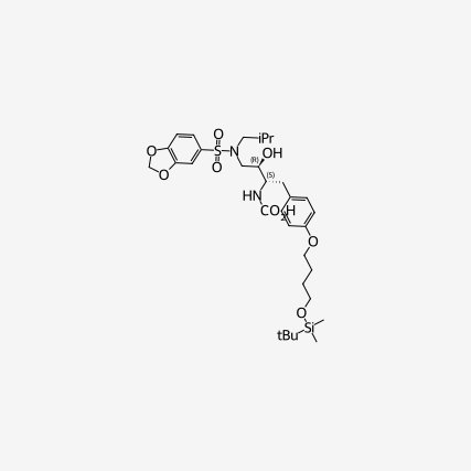 CC(C)CN(C[C@@H](O)[C@H](Cc1ccc(OCCCCO[Si](C)(C)C(C)(C)C)cc1)NC(=O)O)S(=O)(=O)c1ccc2c(c1)OCO2